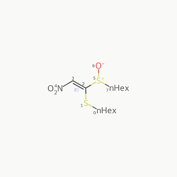 CCCCCCS/C(=C\[N+](=O)[O-])[S+]([O-])CCCCCC